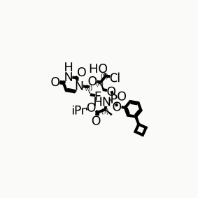 CC(C)OC(=O)[C@H](C)NP(=O)(OC[C@@H](O[C@H](CF)n1ccc(=O)[nH]c1=O)[C@@H](O)Cl)Oc1cccc(C2CCC2)c1